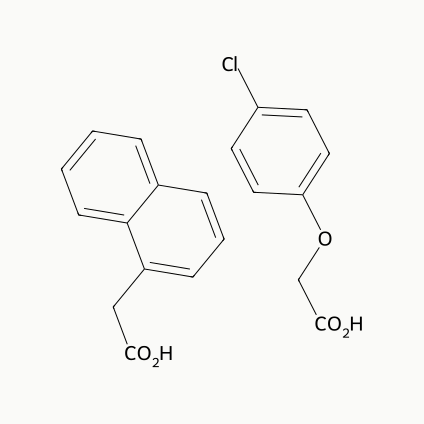 O=C(O)COc1ccc(Cl)cc1.O=C(O)Cc1cccc2ccccc12